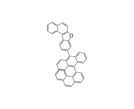 c1ccc2c(c1)ccc1cccc(-c3c4ccccc4c(-c4ccc5c(c4)oc4ccc6ccccc6c45)c4ccccc34)c12